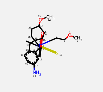 COCCN1C(=O)C2(NC1=S)c1cc(N)ccc1CC21CCC(OC)CC1